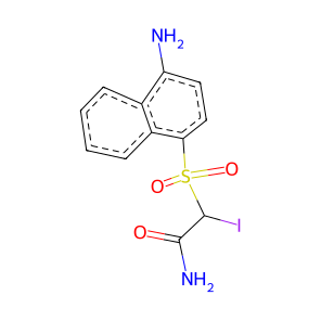 NC(=O)C(I)S(=O)(=O)c1ccc(N)c2ccccc12